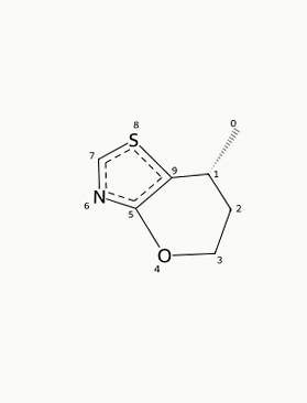 C[C@@H]1CCOc2ncsc21